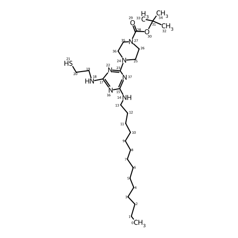 CCCCCCCCCCCCCCNc1nc(NCCS)nc(N2CCN(C(=O)OC(C)(C)C)CC2)n1